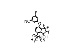 CS(=O)(=NC#N)c1ccc(Oc2cc(F)cc(C#N)c2)c2c1[C@H](O)C(F)C2(F)F